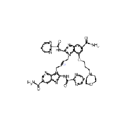 NC(=O)c1cnc2c(c1)nc(NC(=O)c1ncccn1)n2C/C=C/Cn1c(NC(=O)c2ncccn2)nc2cc(C(N)=O)cc(OCCCN3CCOCC3)c21